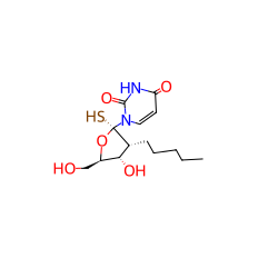 CCCCC[C@@H]1[C@H](O)[C@@H](CO)O[C@@]1(S)n1ccc(=O)[nH]c1=O